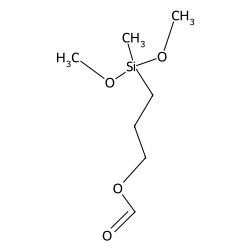 CO[Si](C)(CCCOC=O)OC